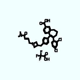 CN(C)C(=O)C=CCN1CC(Cc2ccc(C3=C(c4ccc(Cl)cc4Cl)CCCc4cc(C(=O)O)ccc43)cc2)C1.O=C(O)C(F)(F)F